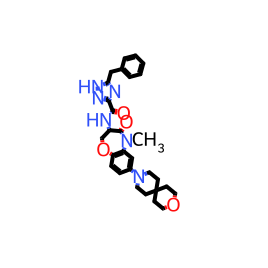 CN1C(=O)C(NC(=O)c2n[nH]c(Cc3ccccc3)n2)COc2ccc(N3CCC4(CCOCC4)CC3)cc21